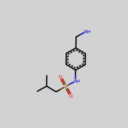 CC(C)CS(=O)(=O)Nc1ccc(C[NH])cc1